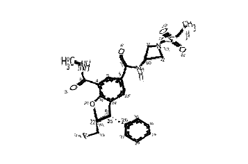 CNC(=O)c1cc(C(=O)NC2CN(S(C)(=O)=O)C2)cc2c1O[C@H](CF)[C@H]2c1ccccc1